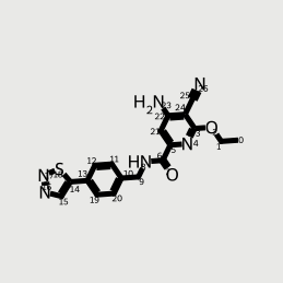 CCOc1nc(C(=O)NCc2ccc(-c3cnns3)cc2)cc(N)c1C#N